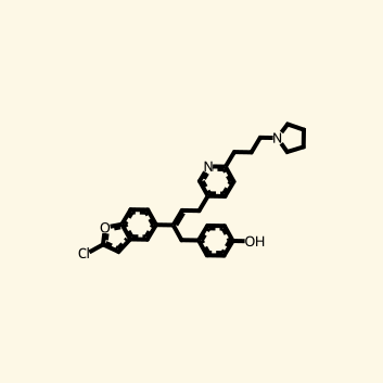 Oc1ccc(CC(=CCc2ccc(CCCN3CCCC3)nc2)c2ccc3oc(Cl)cc3c2)cc1